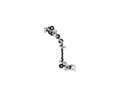 Cc1nc(NC(=O)c2ccccc2NC(=O)CCCCCCCCNC(=O)CN2CCN(c3ccc(Nc4ncc5cc6n(c5n4)C4(CCCCC4)CNC6=O)nc3)CC2)sc1C